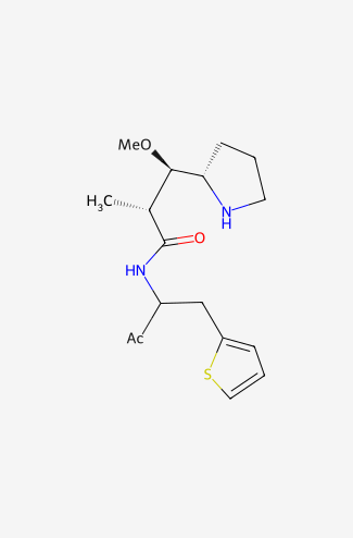 CO[C@@H]([C@@H]1CCCN1)[C@@H](C)C(=O)NC(Cc1cccs1)C(C)=O